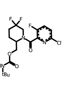 CC(C)(C)NC(=O)OCC1CCC(F)(F)CN1C(=O)c1nc(Cl)ccc1F